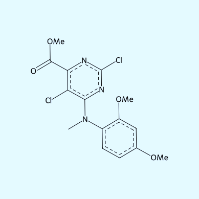 COC(=O)c1nc(Cl)nc(N(C)c2ccc(OC)cc2OC)c1Cl